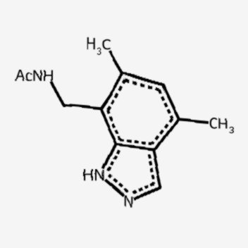 CC(=O)NCc1c(C)cc(C)c2cn[nH]c12